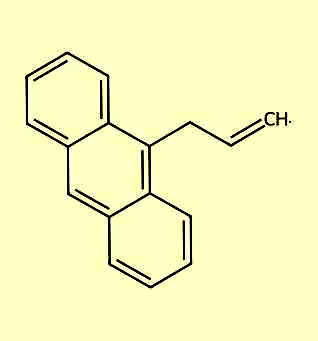 [CH]=CCc1c2ccccc2cc2ccccc12